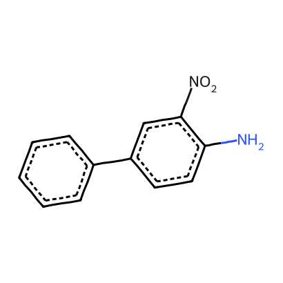 Nc1ccc(-c2ccccc2)cc1[N+](=O)[O-]